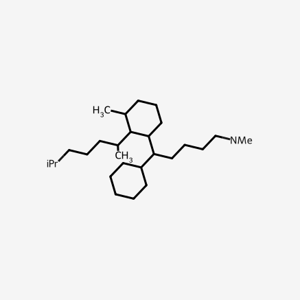 CNCCCCC(C1CCCCC1)C1CCCC(C)C1C(C)CCCC(C)C